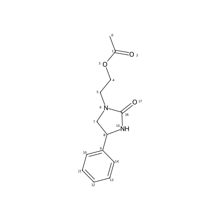 CC(=O)OCCN1CC(c2ccccc2)NC1=O